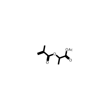 C=C(C)C(=O)OC(C)C(=O)OC(C)=O